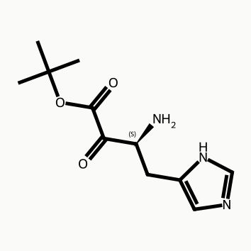 CC(C)(C)OC(=O)C(=O)[C@@H](N)Cc1cnc[nH]1